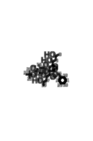 CC(O)CC(O)C(=O)CC(OC(=O)[C@H](C)NC(=O)OC(C)(C)C)(C(=O)OCc1ccccc1)C(=O)C(O)CC(C)O